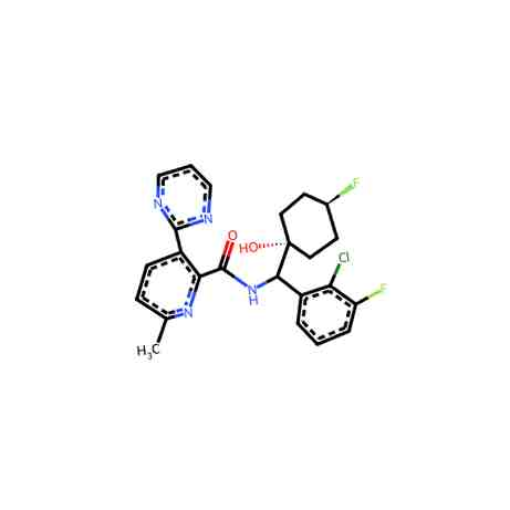 Cc1ccc(-c2ncccn2)c(C(=O)NC(c2cccc(F)c2Cl)[C@]2(O)CC[C@H](F)CC2)n1